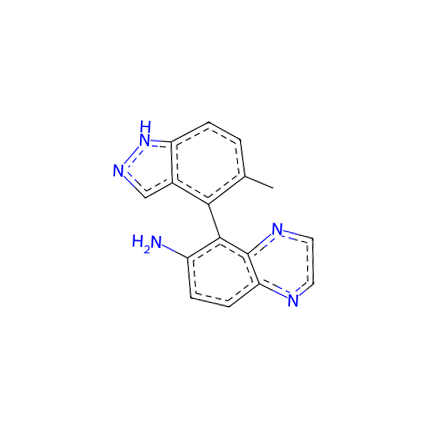 Cc1ccc2[nH]ncc2c1-c1c(N)ccc2nccnc12